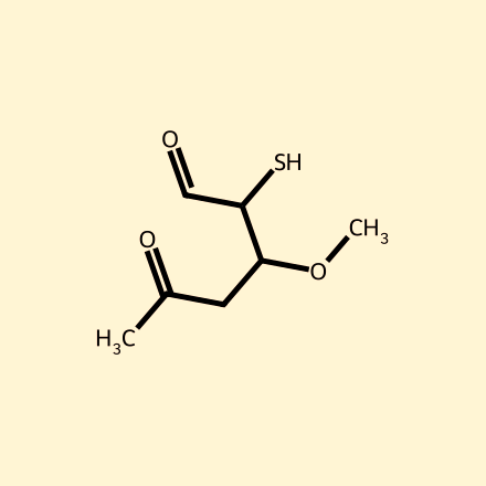 COC(CC(C)=O)C(S)C=O